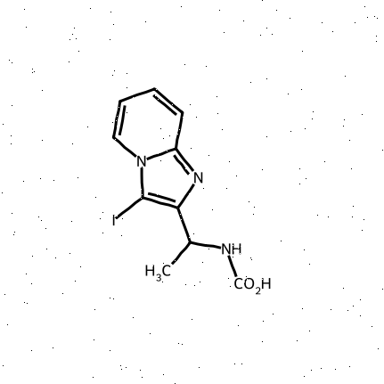 CC(NC(=O)O)c1nc2ccccn2c1I